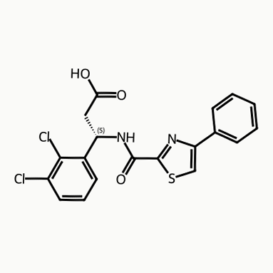 O=C(O)C[C@H](NC(=O)c1nc(-c2ccccc2)cs1)c1cccc(Cl)c1Cl